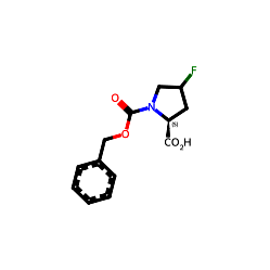 O=C(O)[C@@H]1CC(F)CN1C(=O)OCc1ccccc1